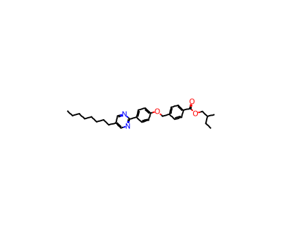 CCCCCCCCc1cnc(-c2ccc(OCc3ccc(C(=O)OCC(C)CC)cc3)cc2)nc1